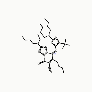 CCCCC1=C(C#N)C(=O)n2nc(C(CC)CCCC)nc2/C1=N\c1sc(N(CCCC)CCCC)nc1C(C)(C)C